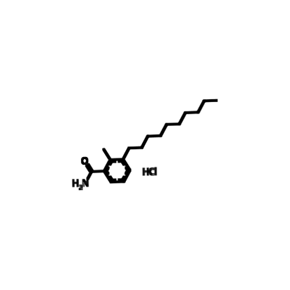 CCCCCCCCCCc1cccc(C(N)=O)c1C.Cl